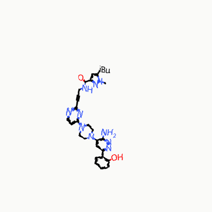 CCC(C)c1cc(C(=O)NCC#Cc2nccc(N3CCN(c4cc(-c5ccccc5O)nnc4N)CC3)n2)nn1C